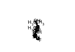 CN1C(=O)C(NC(=O)c2cn3c(-c4ccc(F)cn4)csc3n2)COc2ccc(C#CC(C)(C)O)cc21